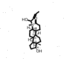 CC#CC(O)[N+]1(C)C(=O)CC[C@@]2(C)[C@H]1CC[C@@H]1[C@@H]2CC[C@]2(C)[C@H](O)CC[C@@H]12